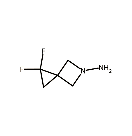 NN1CC2(C1)CC2(F)F